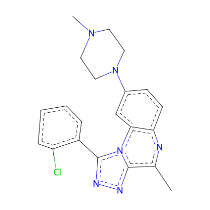 Cc1nc2ccc(N3CCN(C)CC3)cc2n2c(-c3ccccc3Cl)nnc12